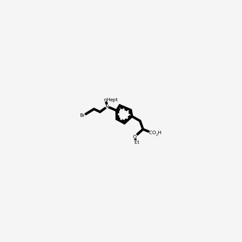 CCCCCCCN(CCBr)c1ccc(CC(OCC)C(=O)O)cc1